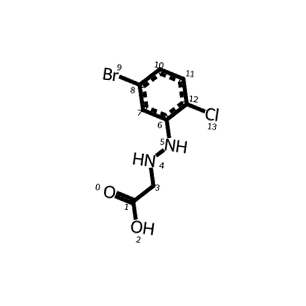 O=C(O)CNNc1cc(Br)ccc1Cl